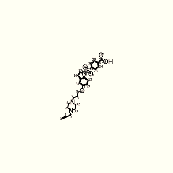 C#CCN1CCN(CCCOc2ccc3c(ccn3S(=O)(=O)c3ccc(C(=O)O)cc3)c2)CC1